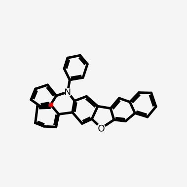 c1ccc(-c2cc3oc4cc5ccccc5cc4c3cc2N(c2ccccc2)c2ccccc2)cc1